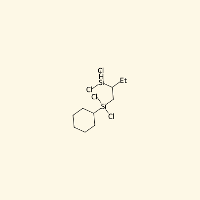 CCC(C[Si](Cl)(Cl)C1CCCCC1)[SiH](Cl)Cl